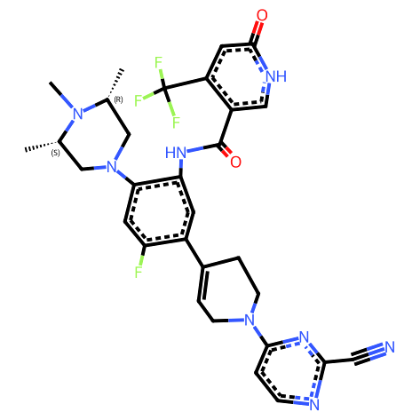 C[C@@H]1CN(c2cc(F)c(C3=CCN(c4ccnc(C#N)n4)CC3)cc2NC(=O)c2c[nH]c(=O)cc2C(F)(F)F)C[C@H](C)N1C